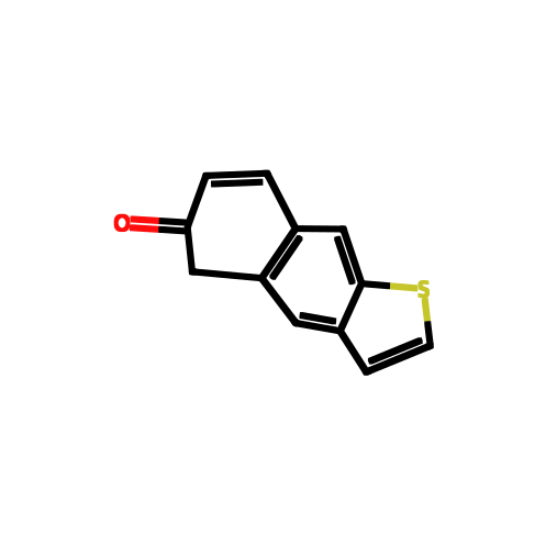 O=C1C=Cc2cc3sccc3cc2C1